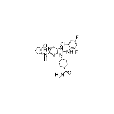 NC(=O)C1CCC(n2c(Nc3c(F)cc(F)cc3Cl)nc3cnc(N[C@@H]4CCC[C@H]4O)nc32)CC1